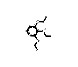 CCOc1bccc(OCC)c1OCC